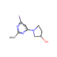 COc1nc(I)cc(N2CCC(O)C2)n1